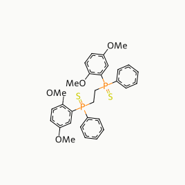 COc1ccc(OC)c(P(=S)(CCP(=S)(c2ccccc2)c2cc(OC)ccc2OC)c2ccccc2)c1